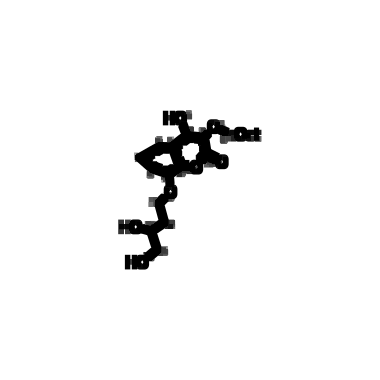 CCCCCCCCOc1c(O)c2cccc(OCCC(O)CO)c2oc1=O